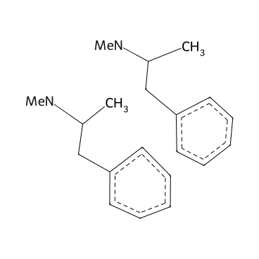 CNC(C)Cc1ccccc1.CNC(C)Cc1ccccc1